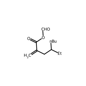 C=C(CC(CC)CCCC)C(=O)OC=O